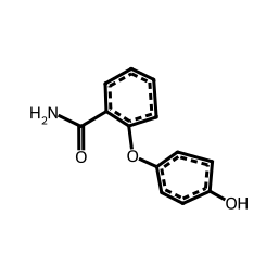 NC(=O)c1ccccc1Oc1ccc(O)cc1